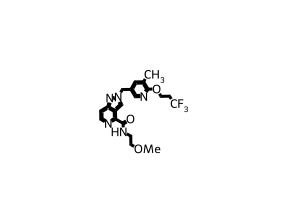 COCCNC(=O)c1nccc2nn(Cc3cnc(OCCC(F)(F)F)c(C)c3)cc12